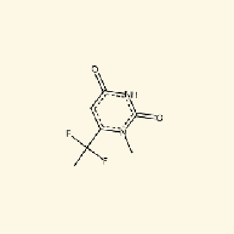 Cn1c(C(C)(F)F)cc(=O)[nH]c1=O